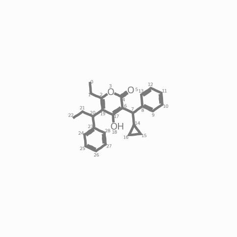 CCc1oc(=O)c(C(c2ccccc2)C2CC2)c(O)c1C(CC)c1ccccc1